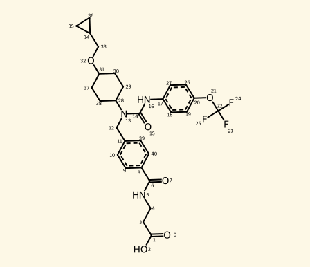 O=C(O)CCNC(=O)c1ccc(CN(C(=O)Nc2ccc(OC(F)(F)F)cc2)C2CCC(OCC3CC3)CC2)cc1